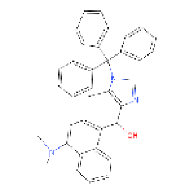 Cc1c(C(O)c2ccc(N(C)C)c3ccccc23)ncn1C(c1ccccc1)(c1ccccc1)c1ccccc1